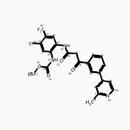 Cc1cc(-c2cccc(C(=O)CC(=O)Nc3cc(C(F)(F)F)c(Cl)cc3NC(=O)OC(C)(C)C)c2)ccn1